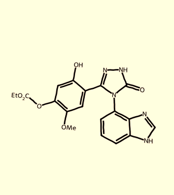 CCOC(=O)Oc1cc(O)c(-c2n[nH]c(=O)n2-c2cccc3[nH]cnc23)cc1OC